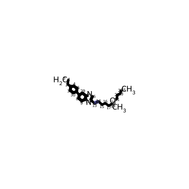 C=CCc1ccc(-c2ccc3nc(/C=C/CCCC(C)OCCCCC)cnc3c2)cc1